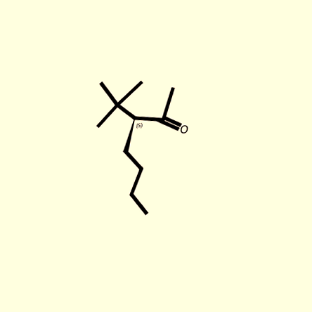 CCCC[C@H](C(C)=O)C(C)(C)C